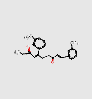 CCC(=O)C=C(CCC(=O)C=Cc1cccc(C)c1)c1cccc(C)c1